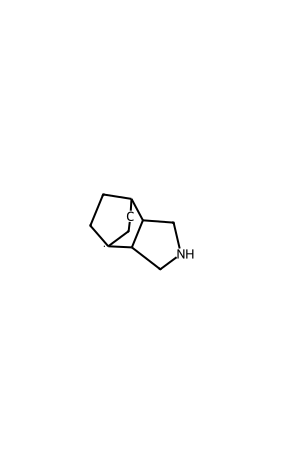 C1CC2CC[C]1C1CNCC21